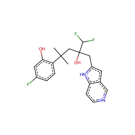 CC(C)(CC(O)(Cc1cc2cnccc2[nH]1)C(F)F)c1ccc(F)cc1O